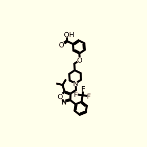 CC(C)c1onc(-c2ccccc2C(F)(F)F)c1CN1CCC(COc2cccc(C(=O)O)c2)CC1